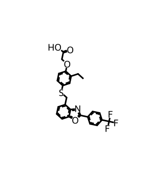 CCc1cc(SCc2cccc3oc(-c4ccc(C(F)(F)F)cc4)nc23)ccc1OCC(=O)O